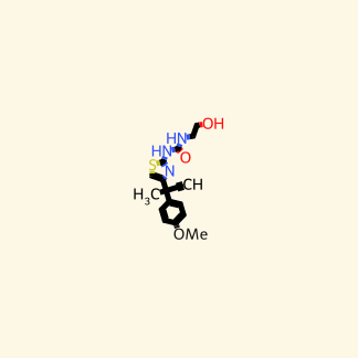 C#CC(C)(c1ccc(OC)cc1)c1csc(NC(=O)NCCO)n1